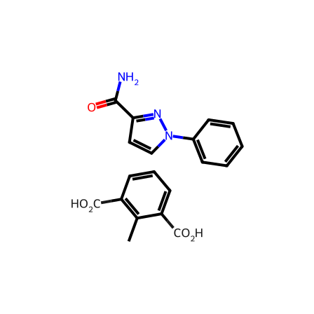 Cc1c(C(=O)O)cccc1C(=O)O.NC(=O)c1ccn(-c2ccccc2)n1